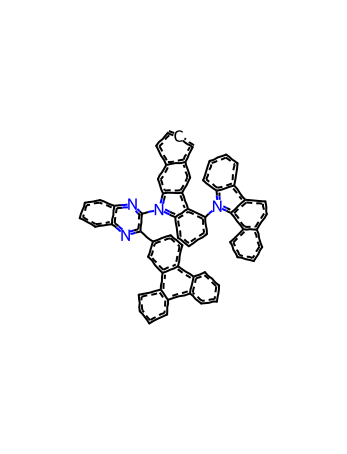 c1ccc2cc3c(cc2c1)c1c(-n2c4ccccc4c4ccc5ccccc5c42)cccc1n3-c1nc2ccccc2nc1-c1ccc2c3ccccc3c3ccccc3c2c1